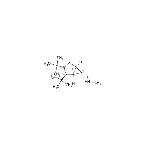 CNC[C@H]1[C@@H]2CN(C(C)(C)C)[C@H](C(C)(C)C)[C@H]12